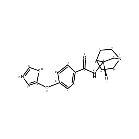 O=C(N[C@H]1CN2CCC1CC2)c1ccc(Oc2cncs2)cc1